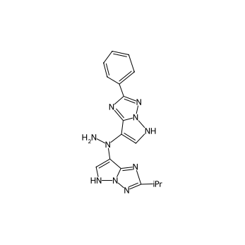 CC(C)c1nc2c(N(N)c3c[nH]n4nc(-c5ccccc5)nc34)c[nH]n2n1